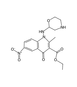 CCOC(=O)c1c(C)n(NC2CNCCO2)c2ccc([N+](=O)[O-])cc2c1=O